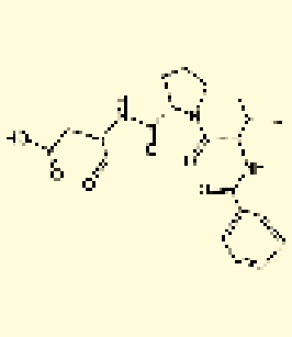 CC(C)C(NC(=O)c1ccccc1)C(=O)N1CCC[C@H]1C(=O)NC(C=O)CC(=O)O